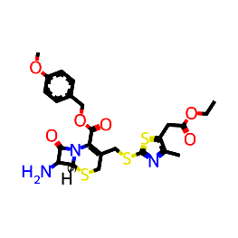 CCOC(=O)Cc1sc(SCC2=C(C(=O)OCc3ccc(OC)cc3)N3C(=O)C(N)[C@@H]3SC2)nc1C